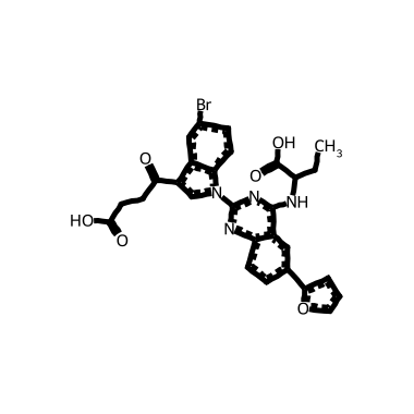 CCC(Nc1nc(-n2cc(C(=O)CCC(=O)O)c3cc(Br)ccc32)nc2ccc(-c3ccco3)cc12)C(=O)O